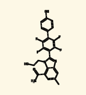 Cc1cc(C(N)=O)c2c(c1)nc(-c1c(F)c(F)c(-c3ccc(O)cc3)c(F)c1F)n2CCO